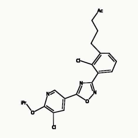 CC(=O)CCCc1cccc(-c2noc(-c3cnc(OC(C)C)c(Cl)c3)n2)c1Cl